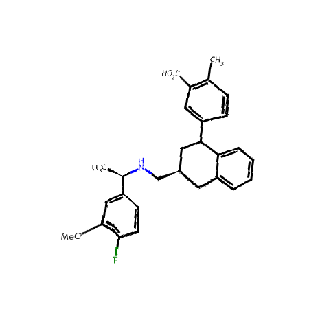 COc1cc([C@@H](C)NC[C@@H]2Cc3ccccc3C(c3ccc(C)c(C(=O)O)c3)C2)ccc1F